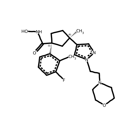 Cc1c(F)cccc1[C@]1(C(=O)NO)CC[C@@](C)(c2cnn(CCN3CCOCC3)c2)C1